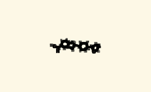 [11CH3]Nc1ccc2nc(-c3ccc(-c4cnco4)cc3)cn2c1